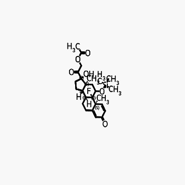 CC(=O)OCC(=O)[C@@]1(O)CC[C@H]2[C@@H]3CCC4=CC(=O)C=C[C@]4(C)[C@@]3(F)C(O[Si](C)(C)C)C[C@@]21C